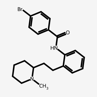 CN1CCCCC1CCc1ccccc1NC(=O)c1ccc(Br)cc1